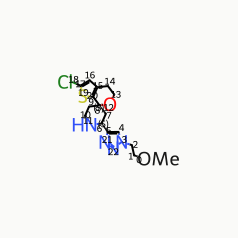 COCCn1cc([C@@H]2C[C@]3(CCN2)OCCc2cc(Cl)sc23)nn1